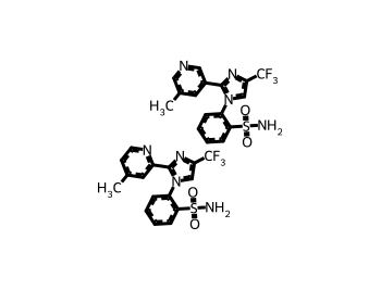 Cc1ccnc(-c2nc(C(F)(F)F)cn2-c2ccccc2S(N)(=O)=O)c1.Cc1cncc(-c2nc(C(F)(F)F)cn2-c2ccccc2S(N)(=O)=O)c1